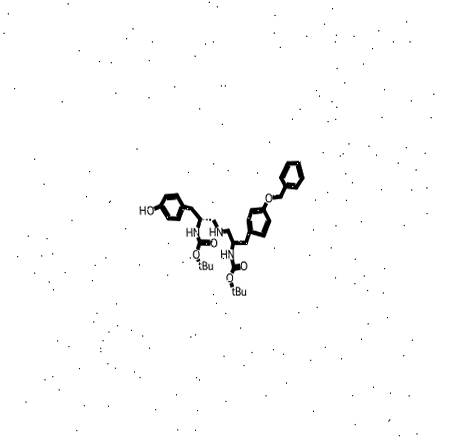 CC(C)(C)OC(=O)NC(CNC[C@@H](Cc1ccc(O)cc1)NC(=O)OC(C)(C)C)Cc1ccc(OCc2ccccc2)cc1